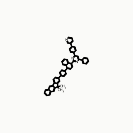 CC1(C)c2cc(-c3ccc(-c4ccc(-c5nc(-c6ccccc6)cc(-c6ccc(-c7cccnc7)cc6)n5)c5ccccc45)cc3)ccc2-c2cc3ccccc3cc21